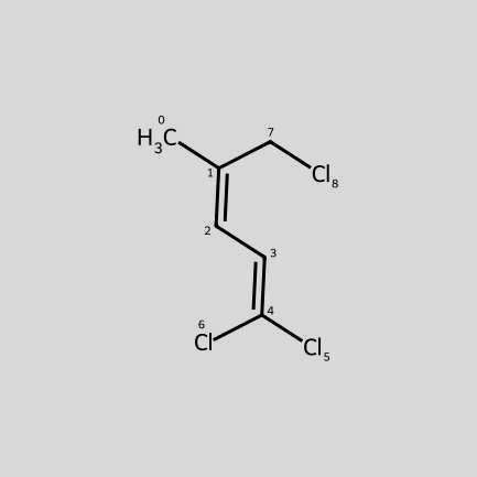 CC(=CC=C(Cl)Cl)CCl